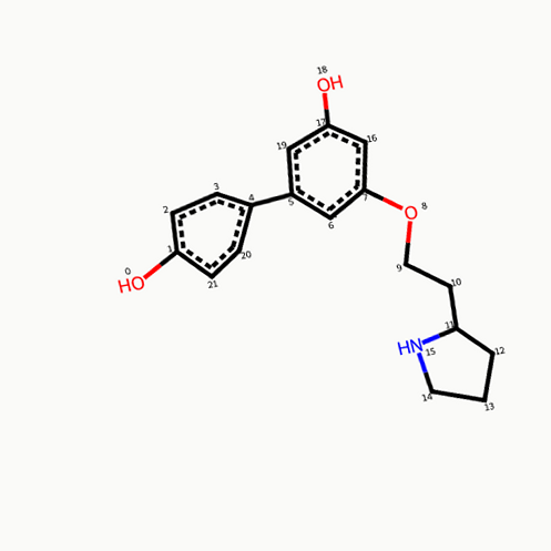 Oc1ccc(-c2[c]c(OCCC3CCCN3)cc(O)c2)cc1